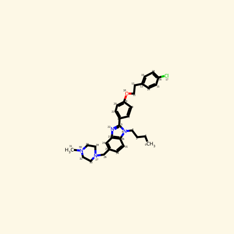 CCCCn1c(-c2ccc(OCCc3ccc(Cl)cc3)cc2)nc2cc(CN3CCN(C)CC3)ccc21